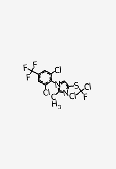 Cc1nc(SC(F)(Cl)Cl)cn1-c1c(Cl)cc(C(F)(F)F)cc1Cl